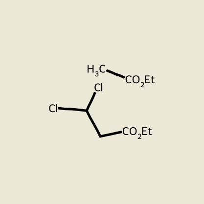 CCOC(=O)CC(Cl)Cl.CCOC(C)=O